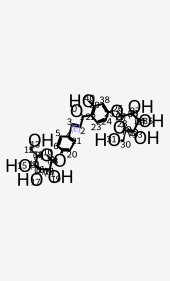 O=C(/C=C/c1ccc(O[C@@H]2O[C@H](CO)[C@@H](O)[C@H](O)[C@H]2O)cc1)c1ccc(O[C@@H]2O[C@H](CO)[C@@H](O)[C@H](O)[C@H]2O)cc1O